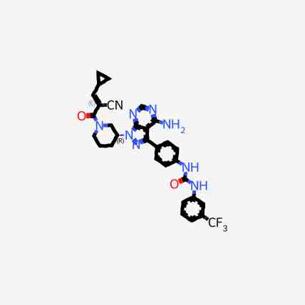 N#C/C(=C\C1CC1)C(=O)N1CCC[C@@H](n2nc(-c3ccc(NC(=O)Nc4cccc(C(F)(F)F)c4)cc3)c3c(N)ncnc32)C1